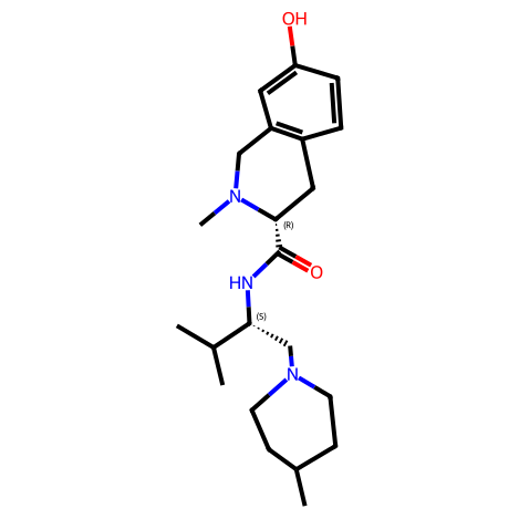 CC1CCN(C[C@@H](NC(=O)[C@H]2Cc3ccc(O)cc3CN2C)C(C)C)CC1